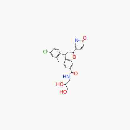 Cc1cc(Cl)ccc1C(CC(=O)c1ccc(=O)n(C)c1)c1ccc(C(=O)NCC(O)CO)cc1